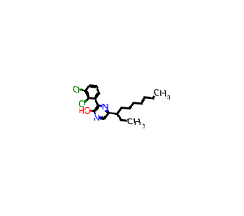 CCCCCCCC(CC)c1cnc(O)c(-c2cccc(Cl)c2Cl)n1